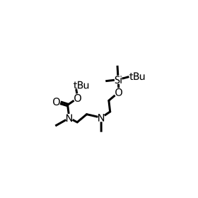 CN(CCO[Si](C)(C)C(C)(C)C)CCN(C)C(=O)OC(C)(C)C